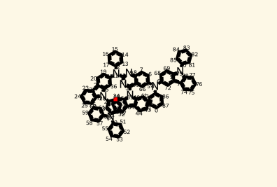 c1ccc(N(c2ccc3nc(N(c4ccccc4)c4ccc5c6ccccc6n(-c6ccccc6)c5c4)nc(-n4c5ccccc5c5cc(N(c6ccccc6)c6ccccc6)ccc54)c3c2)c2ccc3c(c2)c2ccccc2n3-c2ccccc2)cc1